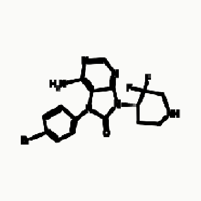 Nc1ncnc2c1n(-c1ccc(Br)cc1)c(=O)n2[C@H]1CCNCC1(F)F